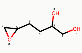 OCC(O)CCC1CO1